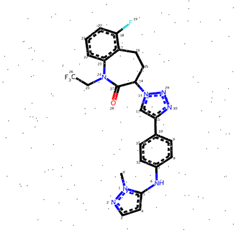 Cn1nccc1Nc1ccc(-c2cn(C3CCc4c(F)cccc4N(CC(F)(F)F)C3=O)nn2)cc1